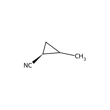 CC1C[C@@H]1C#N